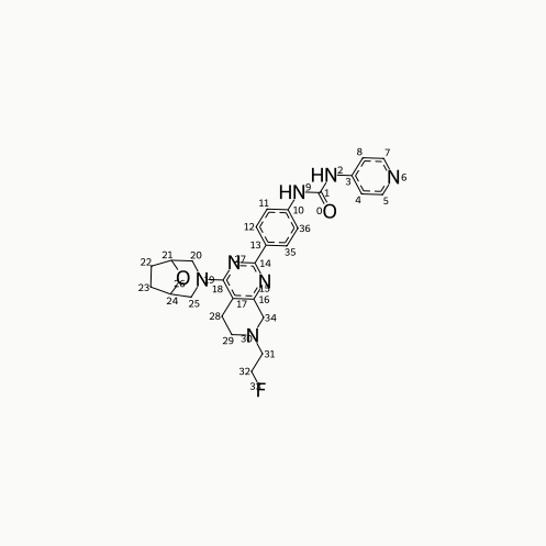 O=C(Nc1ccncc1)Nc1ccc(-c2nc3c(c(N4CC5CCC(C4)O5)n2)CCN(CCF)C3)cc1